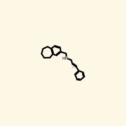 C(=C\c1ccccc1)/CNCc1ccc2c(c1)CCCCC2